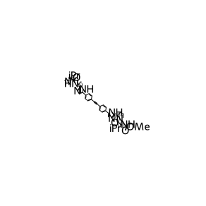 COC(=O)N[C@H](C(=O)N1CCC[C@H]1c1ncc(-c2ccc(C#Cc3ccc(-c4cnc([C@H](C)NC(=O)[C@H](C(C)C)N(C)C)[nH]4)cc3)cc2)[nH]1)C(C)C